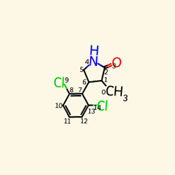 CC1C(=O)NCC1c1c(Cl)cccc1Cl